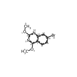 COc1nc(OC)c2ccc(Br)cc2n1